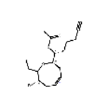 C#CCCC[C@@H](OC(C)=O)[C@H]1C/C=C\C[C@H](Br)C(CC)O1